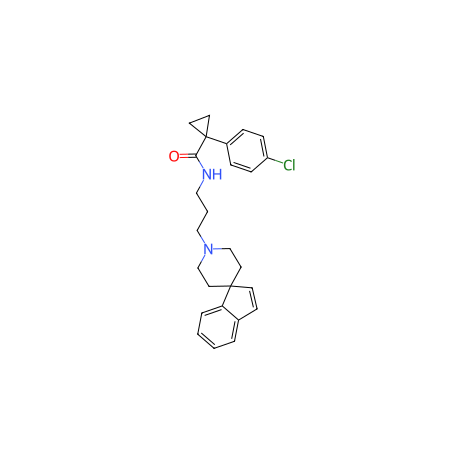 O=C(NCCCN1CCC2(C=Cc3ccccc32)CC1)C1(c2ccc(Cl)cc2)CC1